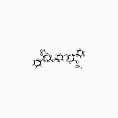 COC(=O)C(OC(=O)Oc1ccc(OC(=O)OC(C(=O)OC)c2ccccc2)nc1)c1ccccc1